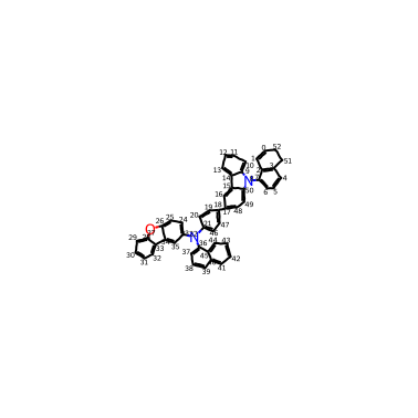 C1=Cc2c(cccc2-n2c3ccccc3c3cc(-c4ccc(N(c5ccc6oc7ccccc7c6c5)c5cccc6ccccc56)cc4)ccc32)CC1